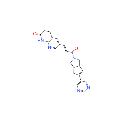 O=C1CCc2cc(/C=C/C(=O)N3CC4C=C(c5cncnc5)CC4C3)cnc2N1